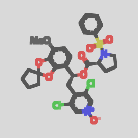 COc1ccc([C@H](Cc2c(Cl)c[n+]([O-])cc2Cl)OC(=O)[C@@H]2CCCN2S(=O)(=O)c2ccccc2)c2c1OC1(CCCC1)O2